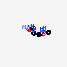 COc1c(N)ncnc1N1CCCC(c2cccc(NC(=O)Nc3ccccc3)c2)C1